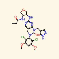 C=CC(=O)NC1COCC1Nc1ncc2c(n1)N(Cc1cn[nH]c1)C(O)N(c1c(Cl)c(OC)cc(OC)c1Cl)C2